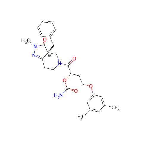 CN1N=C2CCN(C(=O)C(CCOc3cc(C(F)(F)F)cc(C(F)(F)F)c3)OC(N)=O)C[C@@]2(Cc2ccccc2)C1=O